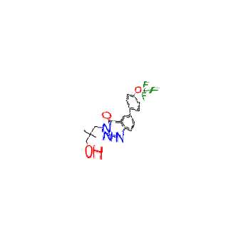 CC(C)(CO)Cn1nnc2ccc(-c3ccc(OC(F)(F)F)cc3)cc2c1=O